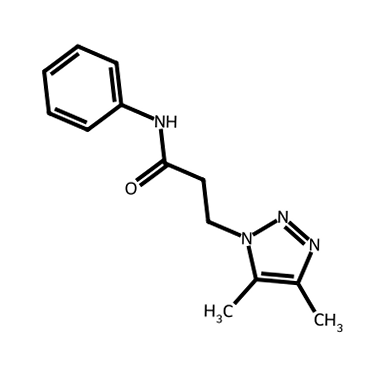 Cc1nnn(CCC(=O)Nc2ccccc2)c1C